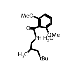 COc1cccc(OC)c1C(=O)PCC(C)CC(C)(C)C.O